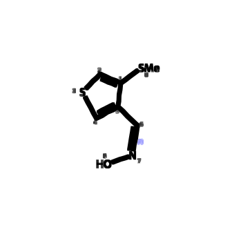 CSc1cscc1/C=N\O